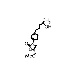 COC[C@H]1CN(c2ccc(CCC[C@@H](C)O)cc2)C(=O)O1